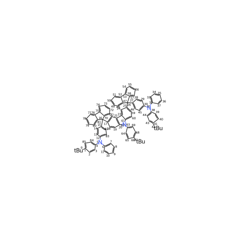 CC(C)(C)c1ccc(N(c2ccccc2)c2ccc(C3(c4ccc5c(c4)c4cc(C6(c7ccc(N(c8ccccc8)c8ccc(C(C)(C)C)cc8)cc7)c7ccccc7-c7ccccc76)ccc4n5-c4ccc(C(C)(C)C)cc4)c4ccccc4-c4ccccc43)cc2)cc1